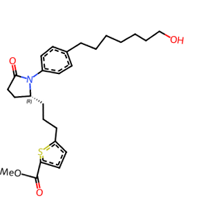 COC(=O)c1ccc(CCC[C@@H]2CCC(=O)N2c2ccc(CCCCCCCO)cc2)s1